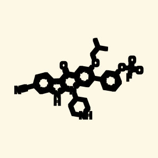 CC(C)COc1cc2c(=O)c3c4ccc(C#N)cc4[nH]c3n(C3CCNCC3)c2cc1-c1cccc(OS(=O)(=O)F)c1